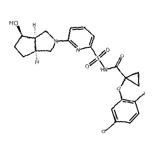 O=C(NS(=O)(=O)c1cccc(N2C[C@H]3CC[C@@H](O)[C@H]3C2)n1)C1(Oc2cc(Cl)ccc2I)CC1